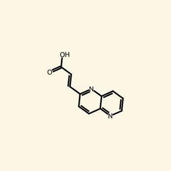 O=C(O)C=Cc1ccc2ncccc2n1